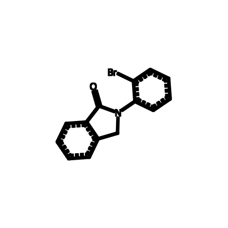 O=C1c2ccccc2CN1c1ccccc1Br